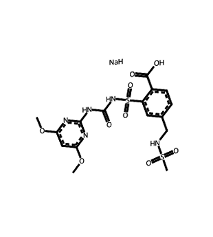 COc1cc(OC)nc(NC(=O)NS(=O)(=O)c2cc(CNS(C)(=O)=O)ccc2C(=O)O)n1.[NaH]